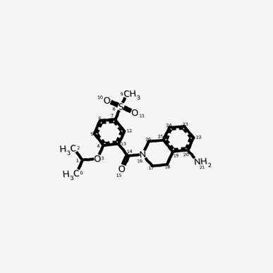 CC(C)Oc1ccc(S(C)(=O)=O)cc1C(=O)N1CCc2c(N)cccc2C1